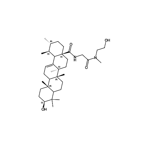 C[C@@H]1CC[C@]2(C(=O)NCC(=O)N(C)CCO)CC[C@]3(C)C(=CCC4[C@@]5(C)CC[C@H](O)C(C)(C)C5CC[C@]43C)C2[C@H]1C